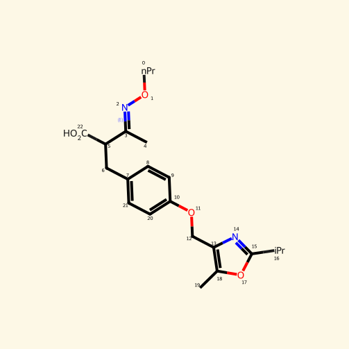 CCCO/N=C(\C)C(Cc1ccc(OCc2nc(C(C)C)oc2C)cc1)C(=O)O